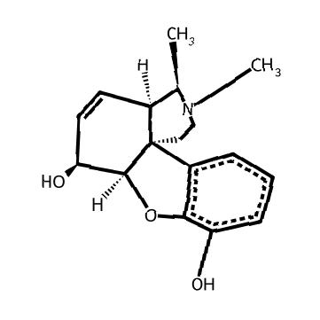 C[C@@H]1[C@@H]2C=C[C@H](O)[C@@H]3Oc4c(O)cccc4[C@]23CCN1C